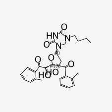 CCCCN1CN([C@H]2C[C@@](O)(C(=O)c3ccccc3C)[C@@H](C(O)C(=O)c3ccccc3C)O2)C(=O)NC1=O